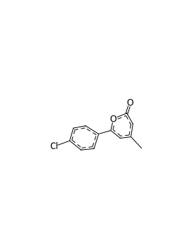 Cc1cc(-c2ccc(Cl)cc2)oc(=O)c1